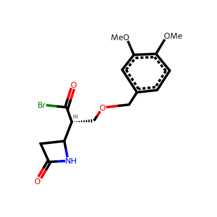 COc1ccc(COC[C@@H](C(=O)Br)C2CC(=O)N2)cc1OC